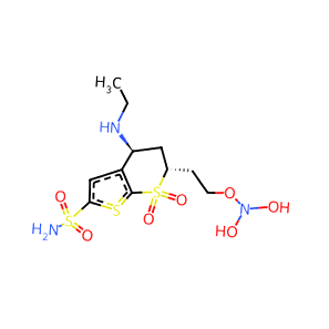 CCN[C@H]1C[C@H](CCON(O)O)S(=O)(=O)c2sc(S(N)(=O)=O)cc21